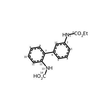 CCOC(=O)Nc1cccc(-c2ccccc2NC(=O)O)c1